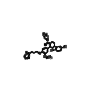 CCOC(=O)N1CCc2c([nH]c3ccc(Cl)cc23)C1c1ccc(OCCCn2nccn2)c(OC)c1